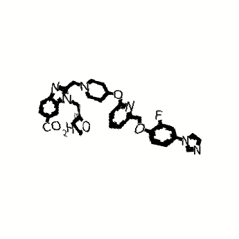 O=C(O)c1ccc2nc(CN3CCC(Oc4cccc(COc5ccc(-n6ccnc6)cc5F)n4)CC3)n(C[C@@H]3CCO3)c2c1